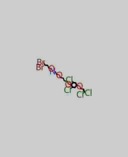 ClC(Cl)=CCOc1cc(Cl)c(OCCCCOC/C=N/OCC=C(Br)Br)c(Cl)c1